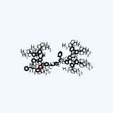 CC(C)(C)c1ccc2c(c1)c1cc(C(C)(C)C)ccc1n2-c1cc2oc3c(-c4nc(-c5ccccc5)cc(-c5ccc(CC(C)(C)c6ccc7c(c6)c6cc(C(C)(C)C)ccc6n7-c6cc(C#N)c(-n7c8ccc(C(C)(C)C)cc8c8cc(C(C)(C)C)ccc87)c7c6oc6c(-c8nc(-c9ccccc9)cc(-c9ccccc9)n8)cccc67)cc5)n4)cccc3c2c(-n2c3ccc(C(C)(C)C)cc3c3cc(C(C)(C)C)ccc32)c1C#N